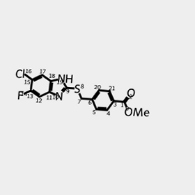 COC(=O)c1ccc(CSc2nc3cc(F)c(Cl)cc3[nH]2)cc1